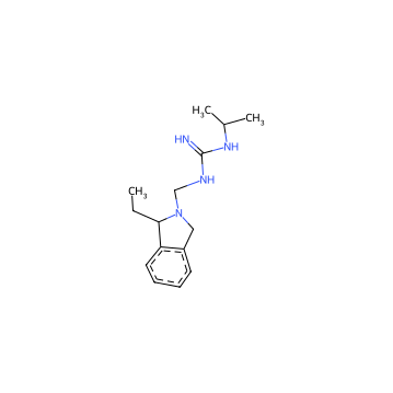 CCC1c2ccccc2CN1CNC(=N)NC(C)C